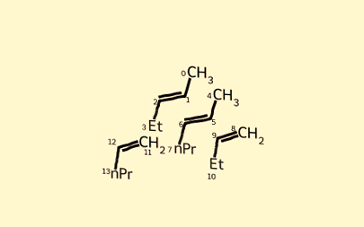 C/C=C/CC.C/C=C/CCC.C=CCC.C=CCCC